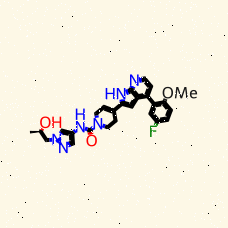 COc1ccc(F)cc1-c1ccnc2[nH]c(C3=CCN(C(=O)Nc4cnn(C[C@@H](C)O)c4)CC3)cc12